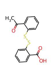 CC(=O)c1ccccc1SSc1ccccc1C(=O)O